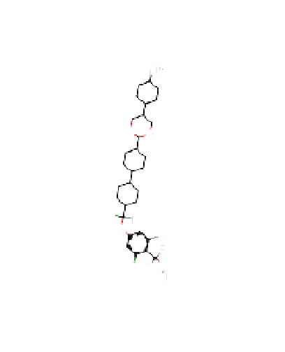 CCCC1CCC(C2COC(C3CCC(C4CCC(C(F)(F)Oc5cc(F)c(C(F)(F)OC(F)(F)F)c(F)c5)CC4)CC3)OC2)CC1